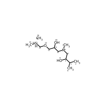 CC(C)C(O)CN(C)CC(O)COC[SiH](C)C